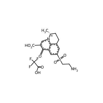 C[C@@H]1CCc2cc(S(=O)(=O)CCN)cc3c(=O)c(C(=O)O)cn1c23.O=C(O)C(F)(F)F